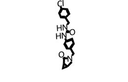 O=C(NCc1ccc(Cl)cc1)Nc1ccc(CN2CC3CC3C2=O)cc1